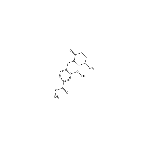 COC(=O)c1ccc(CN2CC(C)CCC2=O)c(OC)c1